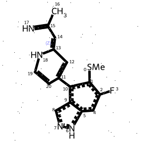 CSc1c(F)cc2[nH]ncc2c1C1=C/C(=C/C(C)=N)NC=C1